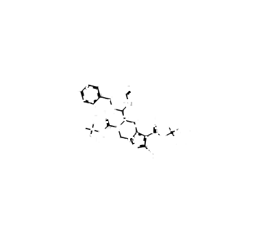 CC(C)(C)OC(=O)c1c(N)sc2c1CC(C(NC=O)OCc1ccccc1)N(C(=O)OC(C)(C)C)C2